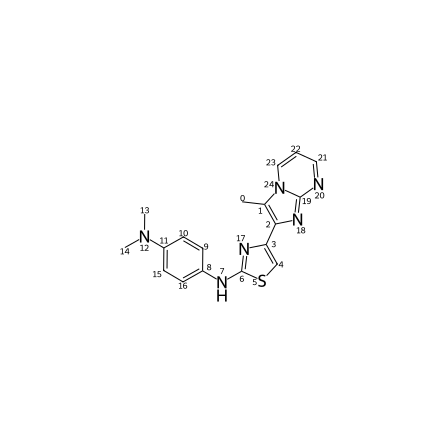 Cc1c(-c2csc(Nc3ccc(N(C)C)cc3)n2)nc2ncccn12